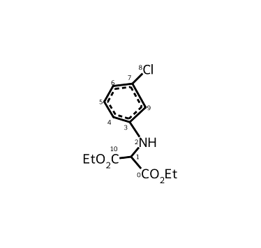 CCOC(=O)C(Nc1cccc(Cl)c1)C(=O)OCC